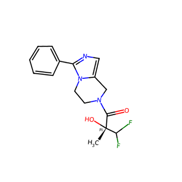 C[C@@](O)(C(=O)N1CCn2c(cnc2-c2ccccc2)C1)C(F)F